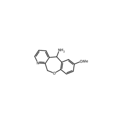 COc1ccc2c(c1)C(N)c1cccnc1CO2